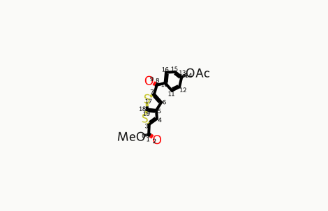 COC(=O)c1cc2cc(C(=O)c3ccc(OC(C)=O)cc3)sc2s1